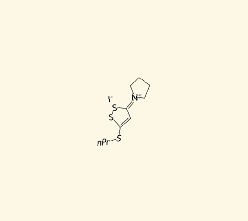 CCCSc1cc(=[N+]2CCCC2)ss1.[I-]